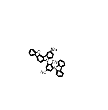 CC(C)(C)c1ccc2c(c1)c1c3oc4ccccc4c3ccc1n2-c1cc(C#N)cc(-n2c3ccccc3c3ccccc32)c1C#N